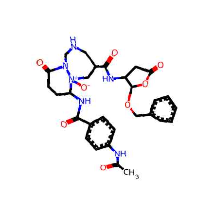 CC(=O)Nc1ccc(C(=O)NC2CCC(=O)N3CNCC(C(=O)NC4CC(=O)OC4OCc4ccccc4)C[N+]23[O-])cc1